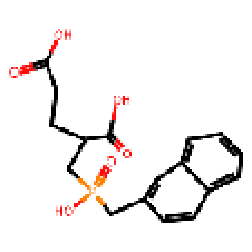 O=C(O)CCC(CP(=O)(O)Cc1ccc2ccccc2c1)C(=O)O